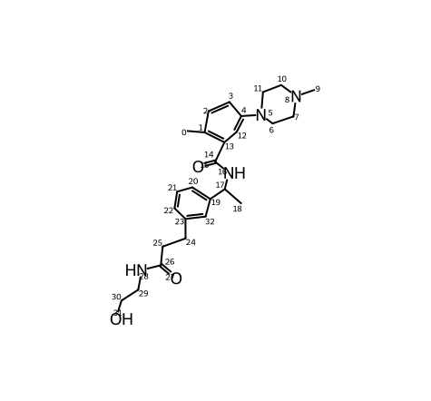 Cc1ccc(N2CCN(C)CC2)cc1C(=O)NC(C)c1cccc(CCC(=O)NCCO)c1